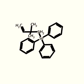 C=CC(C)(C)[SiH2][Sn]([c]1ccccc1)([c]1ccccc1)[c]1ccccc1